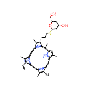 C=Cc1c(C)c2cc3nc(c(C)c4cc(C)c(cc5nc(cc1[nH]2)C(C)=C5CC)[nH]4)[C@@H](CCCS[C@H]1C[C@@H](O)C[C@@H](CO)O1)[C@@H]3C